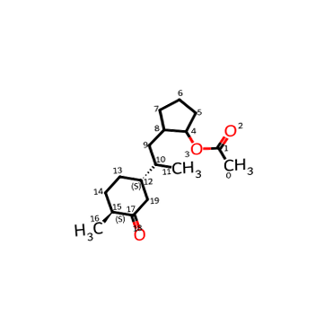 CC(=O)OC1CCCC1CC(C)[C@H]1CC[C@H](C)C(=O)C1